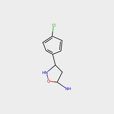 [NH]C1CC(c2ccc(Cl)cc2)NO1